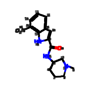 CN1CCCC(NC(=O)c2cc3cccc([N+](=O)[O-])c3[nH]2)C1